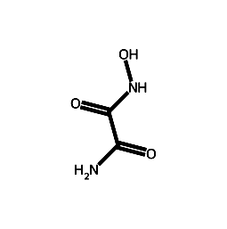 NC(=O)C(=O)NO